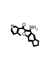 Cc1ccncc1C(=O)c1oc2cc3c(cc2c1N)CCC3